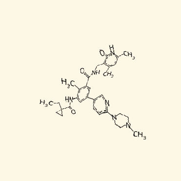 CCC1(C(=O)Nc2cc(-c3ccc(N4CCN(C)CC4)nc3)cc(C(=O)NCc3c(C)cc(C)[nH]c3=O)c2C)CC1